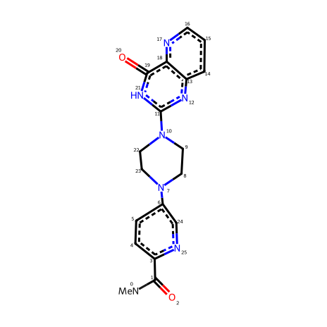 CNC(=O)c1ccc(N2CCN(c3nc4cccnc4c(=O)[nH]3)CC2)cn1